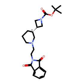 CC(C)(C)OC(=O)N1CC([C@H]2CCCN(CCN3C(=O)c4ccccc4C3=O)C2)C1